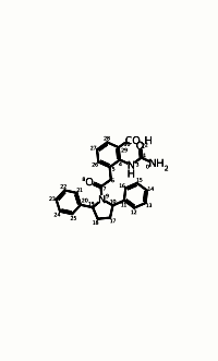 NC(=O)Nc1c(CC(=O)N2C(c3ccccc3)CCC2c2ccccc2)cccc1C(=O)O